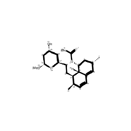 CCC(C)C(=O)O[C@@H]1C[C@H](C)C=C2C=C[C@@H](C)[C@@H](CC[C@@H]3C[C@@H](O)C[C@@H](OC)O3)[C@@H]21